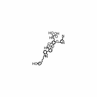 CNc1c(COc2cc(OCc3cncc(C#N)c3)c(CN[C@@H](CO)C(=O)O)cc2Cl)cccc1-c1cccc2c1cnn2CCCCN1CC[C@@H](O)C1